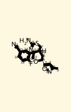 Cc1cc([C@H]2C[C@H]3CSC(N)=NC3(c3cc(C#N)ccc3F)CO2)on1